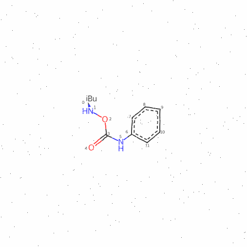 CC[C@H](C)NOC(=O)Nc1ccccc1